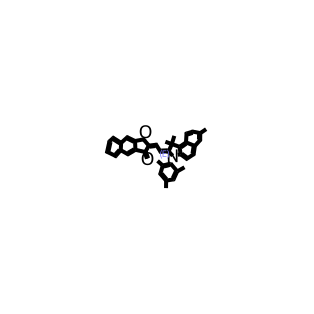 Cc1cc(C)c(N2/C(=C/C=C3C(=O)c4cc5ccccc5cc4C3=O)C(C)(C)c3c2ccc2cc(C)ccc32)c(C)c1